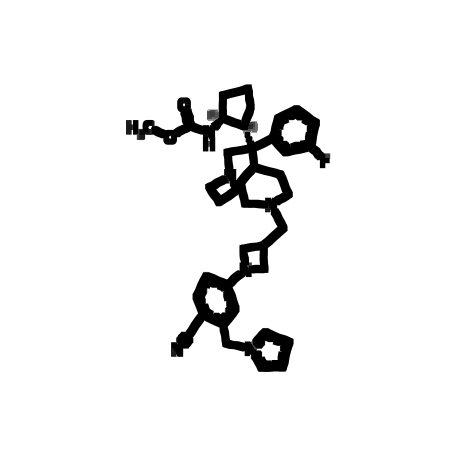 COC(=O)N[C@H]1CCC[C@@H]1C(CN1CCC1)(c1cccc(F)c1)C1CCN(CC2CN(c3ccc(C#N)c(Cn4cccc4)c3)C2)CC1